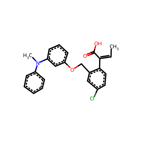 CC=C(C(=O)O)c1ccc(Cl)cc1COc1cccc(N(C)c2ccccc2)c1